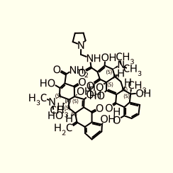 C=C1c2cccc(O)c2C(=O)C2=C(O)[C@]3(O)C(=O)C(C(N)=O)=C(O)[C@@H](N(C)C)[C@@H]3[C@@H](O)[C@H]12.CN(C)[C@@H]1C(O)=C(C(=O)NCN2CCCC2)C(=O)[C@@]2(O)C(O)=C3C(=O)c4c(O)cccc4[C@@](C)(O)[C@H]3C[C@@H]12